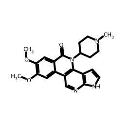 COc1cc2c(=O)n(C3CCN(C)CC3)c3c4cc[nH]c4ncc3c2cc1OC